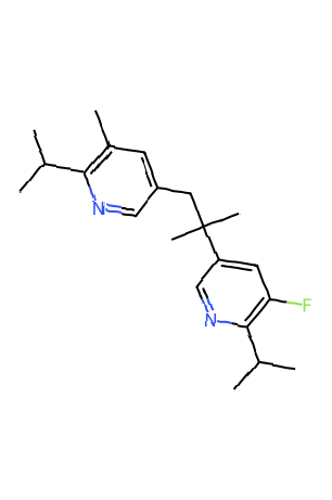 Cc1cc(CC(C)(C)c2cnc(C(C)C)c(F)c2)cnc1C(C)C